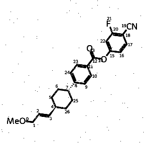 COCC=C[C@H]1CC[C@H](c2ccc(C(=O)Oc3ccc(C#N)c(F)c3)cc2)CC1